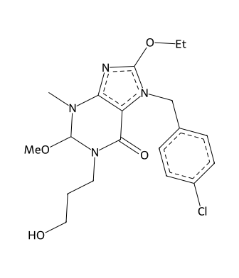 CCOc1nc2c(n1Cc1ccc(Cl)cc1)C(=O)N(CCCO)C(OC)N2C